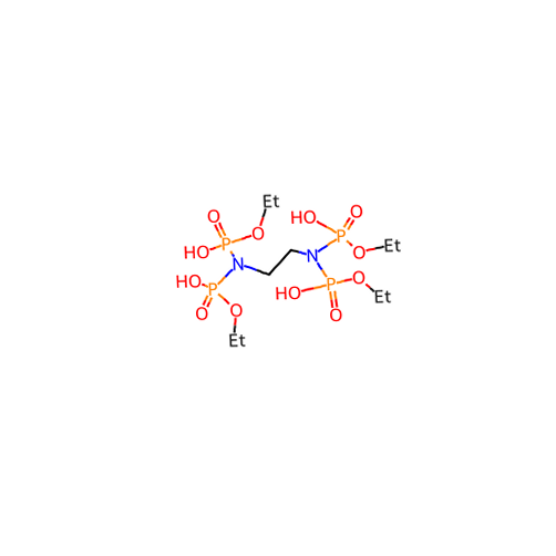 CCOP(=O)(O)N(CCN(P(=O)(O)OCC)P(=O)(O)OCC)P(=O)(O)OCC